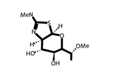 CNC1=N[C@@H]2[C@@H](O)[C@H](O)C([C@@H](C)OC)O[C@@H]2S1